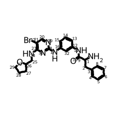 NC(Cc1ccccc1)C(=O)Nc1cccc(Nc2ncc(Br)c(NCC3CCCO3)n2)c1